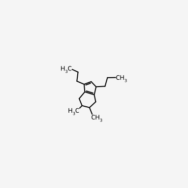 CCCC1=CC(CCC)C2=C1CC(C)C(C)C2